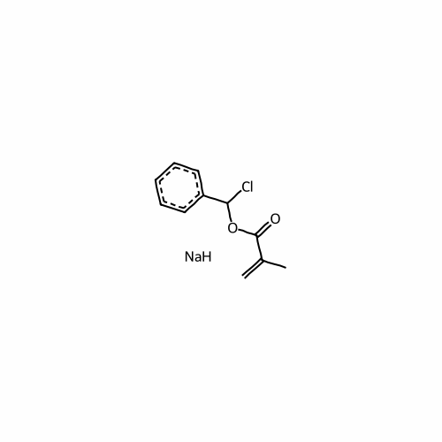 C=C(C)C(=O)OC(Cl)c1ccccc1.[NaH]